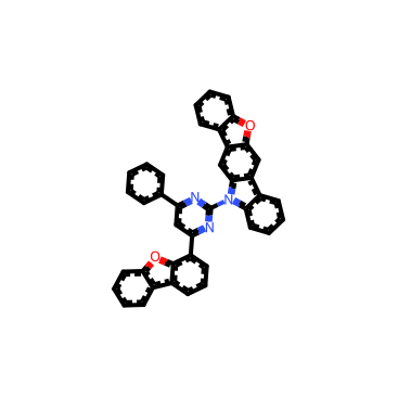 c1ccc(-c2cc(-c3cccc4c3oc3ccccc34)nc(-n3c4ccccc4c4cc5oc6ccccc6c5cc43)n2)cc1